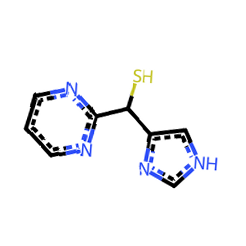 SC(c1c[nH]cn1)c1ncccn1